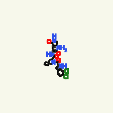 NC(=O)[C@H](C[C@@H]1CCNC1=O)NC(=O)C1CC2(CCC2)CN1C(=O)c1cc2ccc(Cl)c(Cl)c2[nH]1